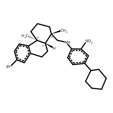 CC(C)c1ccc2c(c1)CC[C@H]1[C@@](C)(CNc3ccc(C4CCCCC4)cc3[N+](=O)[O-])CCC[C@]21C